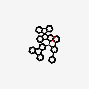 c1ccc(-c2ccc(-c3ccccc3)c(N(c3ccc4c5ccccc5c5ccccc5c4c3)c3cccc4c3-c3ccccc3C43c4ccccc4-c4ccccc43)c2)cc1